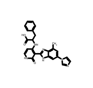 Cc1cc(-n2ccnc2)cc2[nH]c(-c3c(NC(Cc4ccccc4)C(=O)O)cc[nH]c3=O)nc12